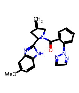 C=C1CC(c2nc3cc(OC)ccc3[nH]2)N(C(=O)c2ccccc2-n2nccn2)C1